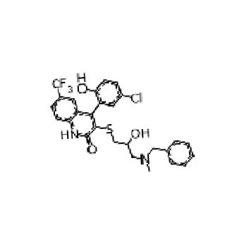 CN(Cc1ccccc1)CC(O)CSc1c(-c2cc(Cl)ccc2O)c2cc(C(F)(F)F)ccc2[nH]c1=O